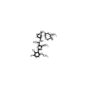 COc1ccc(F)c(F)c1-c1nc(C(O)Nc2cnn(C)c2[C@@H]2CC[C@@H](N)[C@@H](F)CO2)c(N)s1